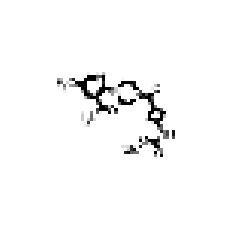 CC(C)(C)OC(=O)NC1CC(C(=O)N2CCN(c3ncc(C(F)(F)F)cc3C(N)=O)CC2)C1